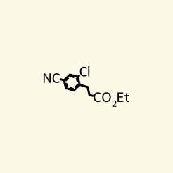 CCOC(=O)CCc1ccc(C#N)cc1Cl